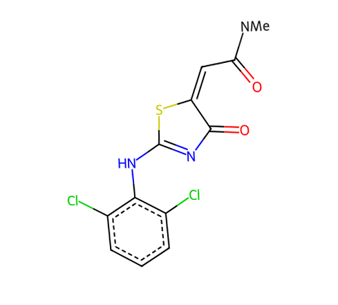 CNC(=O)C=C1SC(Nc2c(Cl)cccc2Cl)=NC1=O